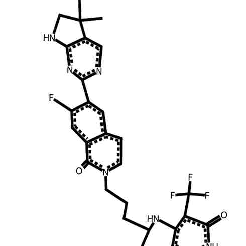 CC(CCCn1ccc2cc(-c3ncc4c(n3)NCC4(C)C)c(F)cc2c1=O)Nc1cn[nH]c(=O)c1C(F)(F)F